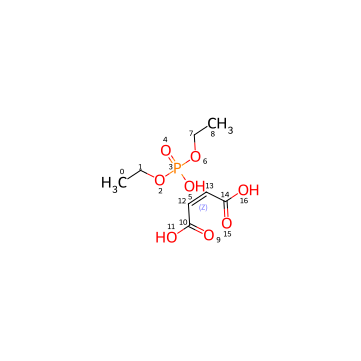 CCOP(=O)(O)OCC.O=C(O)/C=C\C(=O)O